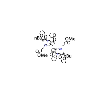 CCCC[C@H](C)[C@@H](/C=C/[C@H]1[C@H](OC2CCCCO2)CC(C2C[C@@H](OC3CCCCO3)[C@H](/C=C/[C@@H](OC3CCCCO3)[C@@H](C)CCCC)[C@H]2C/C=C\CCCC(=O)OC)[C@@H]1C/C=C\CCCC(=O)OC)OC1CCCCO1